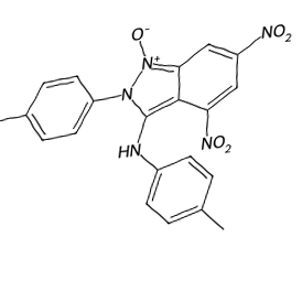 Cc1ccc(Nc2c3c([N+](=O)[O-])cc([N+](=O)[O-])cc3[n+]([O-])n2-c2ccc(C)cc2)cc1